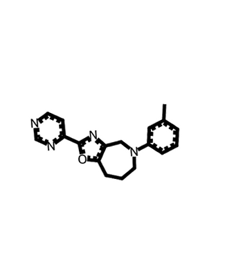 Cc1cccc(N2CCCc3oc(-c4ccncn4)nc3C2)c1